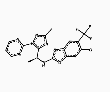 Cc1nc([C@H](C)Nc2nc3cc(C(F)(F)F)c(Cl)cc3o2)n(-c2ncccn2)n1